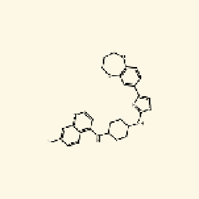 Clc1ccc2c(NC3CCC(Nc4nc(-c5ccc6c(c5)OCCCO6)cs4)CC3)ccnc2c1